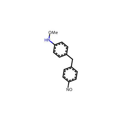 CONc1ccc(Cc2ccc(N=O)cc2)cc1